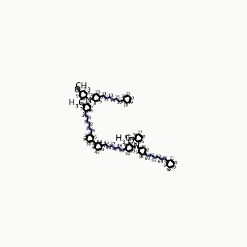 COc1ccc(N(c2ccc(/C=C/C=C/C=C/c3ccccc3)cc2)c2ccc(/C=C/C=C/C=C/c3cccc(-c4cccc(/C=C/C=C/C=C/c5ccc(N(c6ccc(/C=C/C=C/C=C/c7ccccc7)cc6)c6ccccc6OC)cc5)c4)c3)cc2)c(C)c1